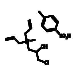 C=CC[N+](C)(CC=C)CC(O)CCl.Cc1ccc(S(=O)(=O)O)cc1